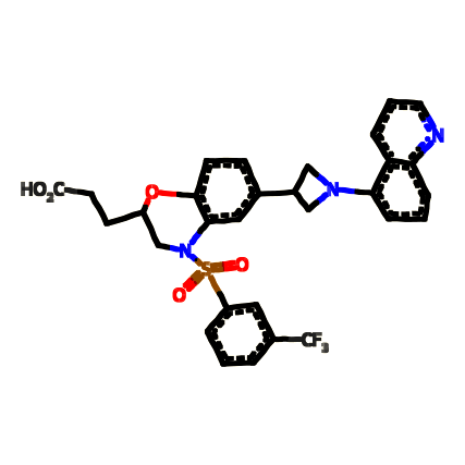 O=C(O)CCC1CN(S(=O)(=O)c2cccc(C(F)(F)F)c2)c2cc(C3CN(c4cccc5ncccc45)C3)ccc2O1